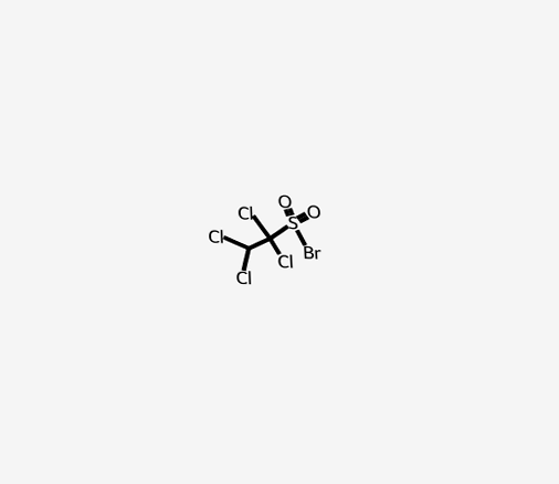 O=S(=O)(Br)C(Cl)(Cl)C(Cl)Cl